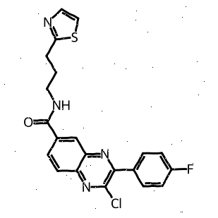 O=C(NCCCc1nccs1)c1ccc2nc(Cl)c(-c3ccc(F)cc3)nc2c1